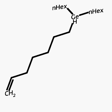 C=CCCCC[CH2][GeH]([CH2]CCCCC)[CH2]CCCCC